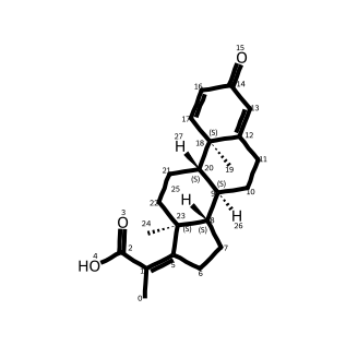 CC(C(=O)O)=C1CC[C@H]2[C@@H]3CCC4=CC(=O)C=C[C@]4(C)[C@H]3CC[C@]12C